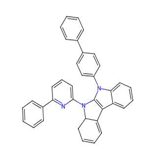 C1=CCC2C(=C1)c1c(n(-c3ccc(-c4ccccc4)cc3)c3ccccc13)N2c1cccc(-c2ccccc2)n1